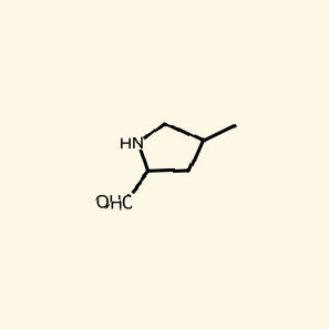 CC1CNC(C=O)C1